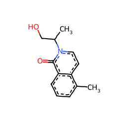 Cc1cccc2c(=O)n(C(C)CO)ccc12